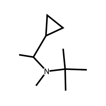 CC(C1CC1)N(C)C(C)(C)C